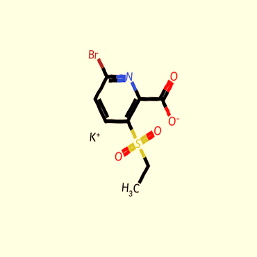 CCS(=O)(=O)c1ccc(Br)nc1C(=O)[O-].[K+]